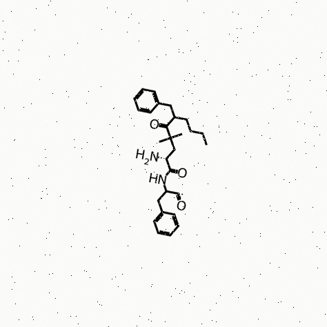 CCCCC(Cc1ccccc1)C(=O)C(C)(C)C[C@@H](N)C(=O)NC([C]=O)Cc1ccccc1